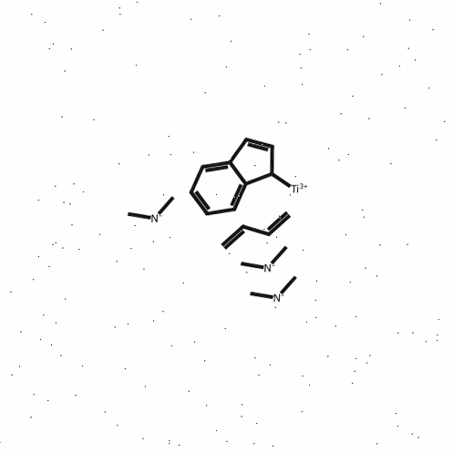 C=CC=C.C[N-]C.C[N-]C.C[N-]C.[Ti+3][CH]1C=Cc2ccccc21